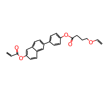 C=COCCCC(=O)Oc1ccc(-c2ccc3cc(OC(=O)C=C)ccc3c2)cc1